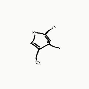 CCc1[nH]cc(Cl)c1C